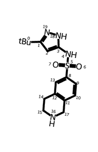 CC(C)(C)c1cc(NS(=O)(=O)c2ccc3c(c2)CCNC3)[nH]n1